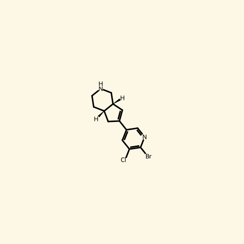 Clc1cc(C2=C[C@H]3CNCC[C@H]3C2)cnc1Br